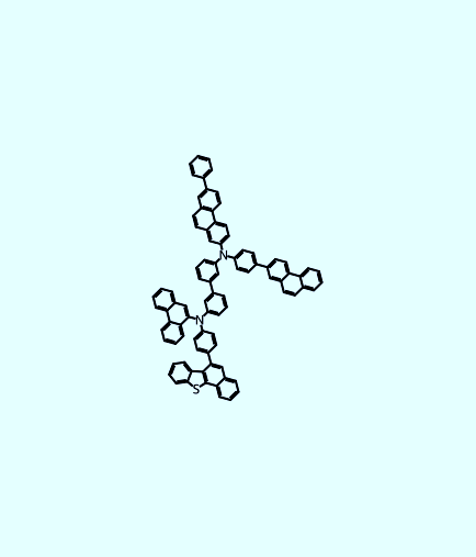 c1ccc(-c2ccc3c(ccc4cc(N(c5ccc(-c6ccc7c(ccc8ccccc87)c6)cc5)c5cccc(-c6cccc(N(c7ccc(-c8cc9ccccc9c9sc%10ccccc%10c89)cc7)c7cc8ccccc8c8ccccc78)c6)c5)ccc43)c2)cc1